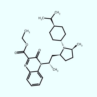 CCOC(=O)c1nc2ccccc2n([C@@H](C)C[C@@H]2CC[C@H](C)N2[C@H]2CC[C@H](C(C)C)CC2)c1=O